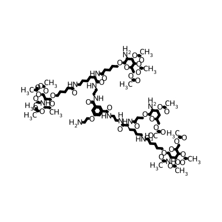 CC(=O)NC(C(OC(C)=O)OC(C)=O)C(OCCCCC(=O)NCCCCC(NC(=O)CCCCOC1OC(COC(C)=O)C(OC(C)=O)C(OC(C)=O)C1N)C(=O)NCCNC(=O)c1cc(OCCN)cc(C(=O)NCCNC(=O)[C@H](CCCCNC(=O)CCCCOC2OC(COC(C)=O)C(OC(C)=O)C(OC(C)=O)[C@@H]2NC(C)=O)NC(=O)CCOC2OC(COC(C)=O)CC(OC(C)=O)C2N)c1)OC(C)COC(C)=O